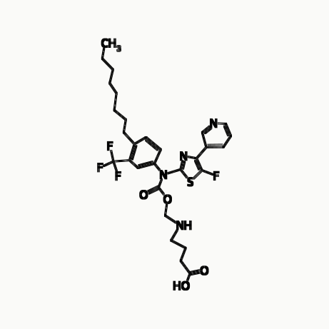 CCCCCCCCc1ccc(N(C(=O)OCNCCCC(=O)O)c2nc(-c3cccnc3)c(F)s2)cc1C(F)(F)F